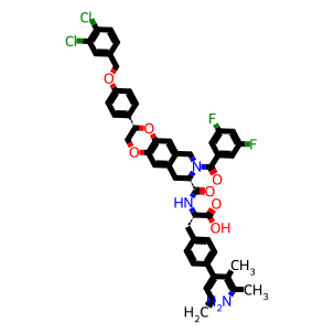 C=C/C=C(\C(C)=C(\C)N)c1ccc(C[C@H](NC(=O)[C@@H]2Cc3cc4c(cc3CN2C(=O)c2cc(F)cc(F)c2)O[C@@H](c2ccc(OCc3ccc(Cl)c(Cl)c3)cc2)CO4)C(=O)O)cc1